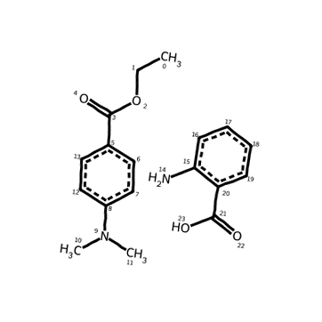 CCOC(=O)c1ccc(N(C)C)cc1.Nc1ccccc1C(=O)O